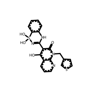 O=c1c(C2=NS(O)(O)c3ccccc3N2)c(O)c2cccnc2n1Cc1ccsc1